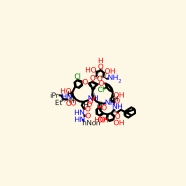 CCCCCCCCCNC(=O)NC(=O)C[C@@H]1CC(=O)[C@H](NC(=O)[C@H](CC)CC(C)C)[C@H](O)c2ccc(c(Cl)c2)Oc2cc3cc(c2O[C@@H]2O[C@H](CN)[C@@H](O)[C@H](O)[C@H]2O)Oc2ccc(cc2Cl)[C@@H](O)[C@@H]2NC(=O)[C@H](CC(=O)[C@@H]3NC1=O)c1ccc(O)c(c1)-c1c(O)cc(O)cc1[C@@H](C(=O)CC1C3CC4CC(C3)CC1C4)NC2=O